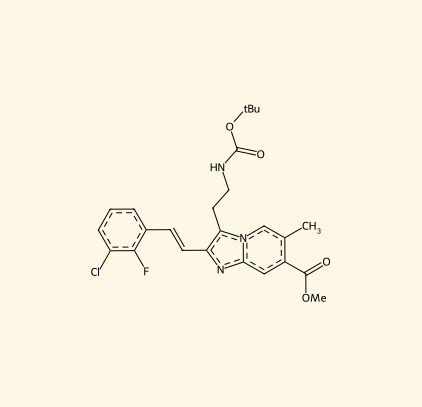 COC(=O)c1cc2nc(/C=C/c3cccc(Cl)c3F)c(CCNC(=O)OC(C)(C)C)n2cc1C